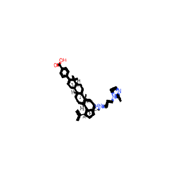 C=C(C)[C@@H]1CC[C@]2(CNCCCn3ccnc3C)CC[C@]3(C)[C@H](CC[C@@H]4[C@@]5(C)CC=C(c6ccc(C(=O)O)cc6)C(C)(C)[C@@H]5CC[C@]43C)[C@@H]12